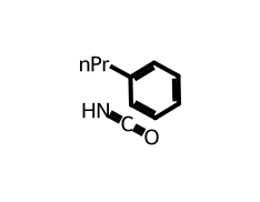 CCCc1ccccc1.N=C=O